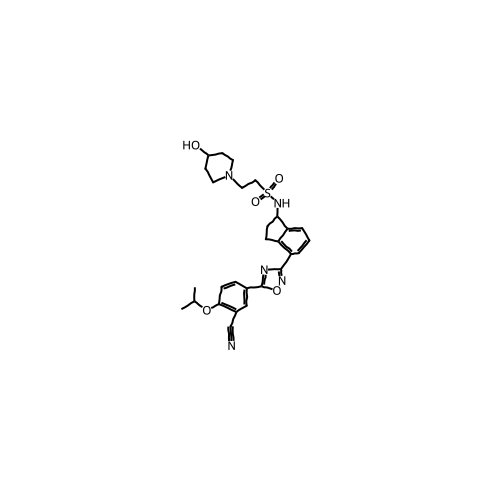 CC(C)Oc1ccc(-c2nc(-c3cccc4c3CCC4NS(=O)(=O)CCN3CCC(O)CC3)no2)cc1C#N